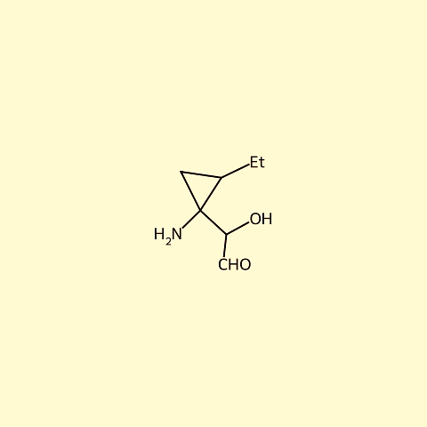 CCC1CC1(N)C(O)C=O